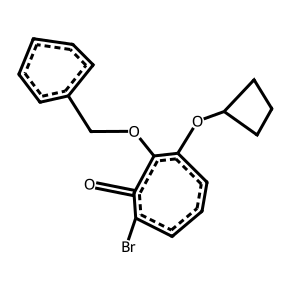 O=c1c(Br)cccc(OC2CCC2)c1OCc1ccccc1